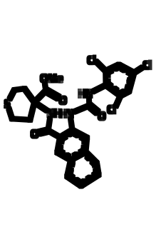 COC(=O)C1(NC(=O)c2cc3ccccc3cc2NC(=O)Nc2c(Cl)cc(Cl)cc2Cl)CCSCC1